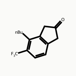 CCCCc1c(C(F)(F)F)ccc2c1CC(=O)C2